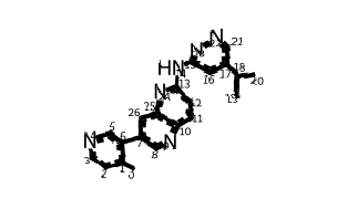 Cc1ccncc1-c1cnc2ccc(Nc3cc(C(C)C)cnn3)nc2c1